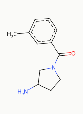 Cc1cccc(C(=O)N2CCC(N)C2)c1